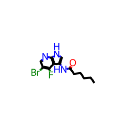 CCCCCC(=O)Nc1c[nH]c2ncc(Br)c(F)c12